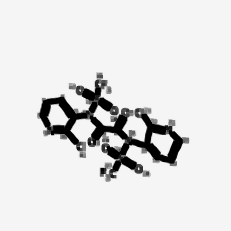 O=C(C(=O)N(c1cccnc1Cl)S(=O)(=O)C(F)(F)F)N(c1cccnc1Cl)S(=O)(=O)C(F)(F)F